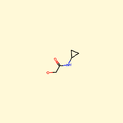 [O]CC(=O)NC1CC1